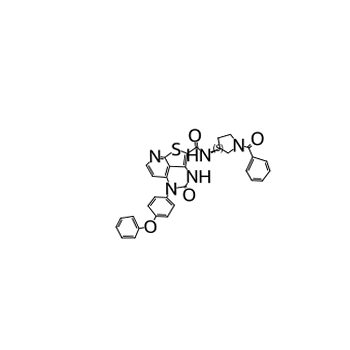 O=C(N[C@H]1CCN(C(=O)c2ccccc2)C1)c1sc2nccc3c2c1NC(=O)N3c1ccc(Oc2ccccc2)cc1